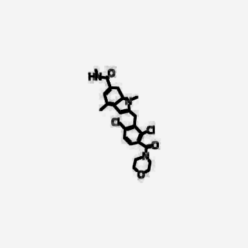 CNC(=O)C1=CC(C)=C2C=C(Cc3c(Cl)ccc(C(=O)N4CCOCC4)c3Cl)N(C)C2C1